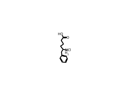 Cl.NC(CCCC(=O)O)Cc1ccccc1